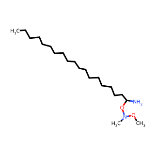 CCCCCCCCCCCCCCCCCCC(N)ON(C)OC